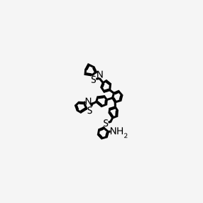 Nc1ccccc1SCc1ccc(-c2cccc(-c3ccc(-c4nc5ccccc5s4)cc3)c2-c2ccc(-c3nc4ccccc4s3)cc2)cc1